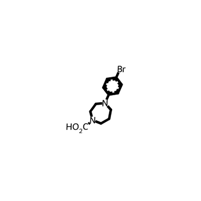 O=C(O)N1CCCN(c2ccc(Br)cc2)CC1